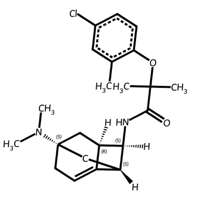 Cc1cc(Cl)ccc1OC(C)(C)C(=O)N[C@@H]1[C@@H]2C[C@]3(N(C)C)CC=C2[C@@H]1C3